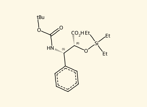 CC[Si](CC)(CC)O[C@@H](C(=O)O)[C@@H](NC(=O)OC(C)(C)C)c1ccccc1